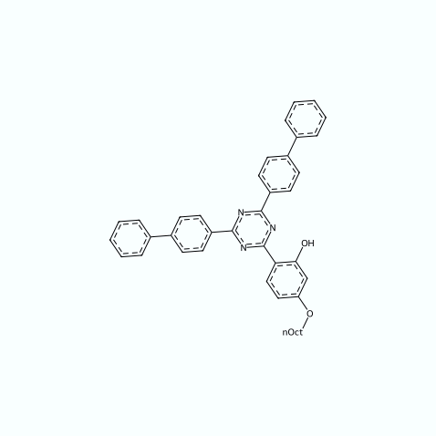 CCCCCCCCOc1ccc(-c2nc(-c3ccc(-c4ccccc4)cc3)nc(-c3ccc(-c4ccccc4)cc3)n2)c(O)c1